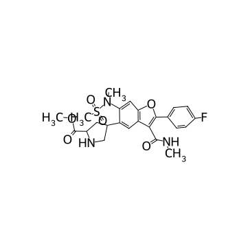 CNC(=O)c1c(-c2ccc(F)cc2)oc2cc(N(C)S(C)(=O)=O)c(C3CNC(C(=O)OC)C3)cc12